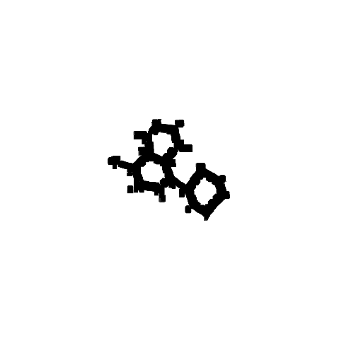 Fc1nnc(-c2ccccc2)c2nccnc12